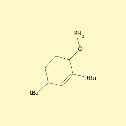 CC(C)(C)C1=CC(C(C)(C)C)CCC1OP